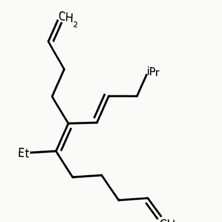 C=CCCCC(CC)=C(C=CCC(C)C)CCC=C